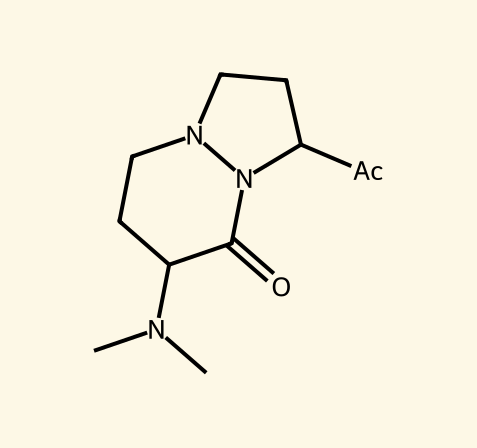 CC(=O)C1CCN2CCC(N(C)C)C(=O)N12